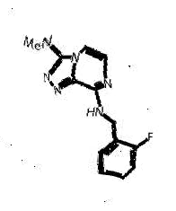 CNc1nnc2c(NCc3ccccc3F)nccn12